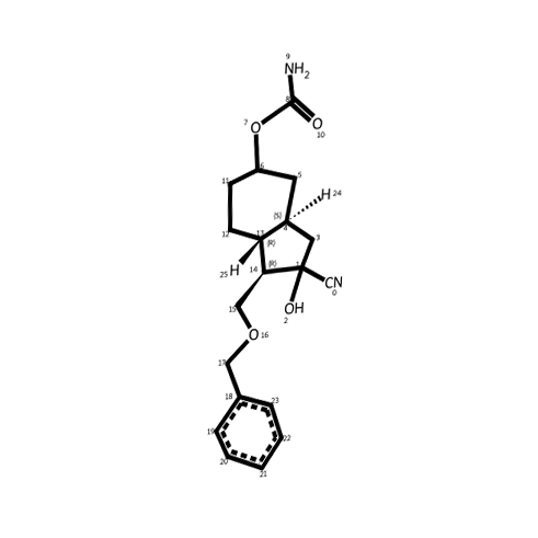 N#CC1(O)C[C@@H]2CC(OC(N)=O)CC[C@H]2[C@@H]1COCc1ccccc1